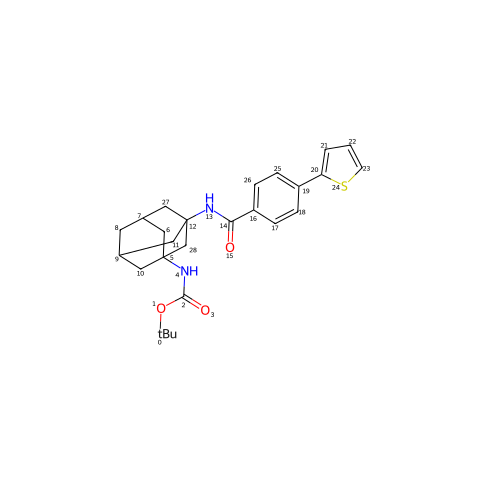 CC(C)(C)OC(=O)NC12CC3CC(C1)CC(NC(=O)c1ccc(-c4cccs4)cc1)(C3)C2